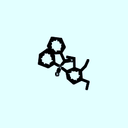 CCc1ccc(P(=O)(C(=O)c2ccccc2)c2ccccc2)c(CC)c1CC